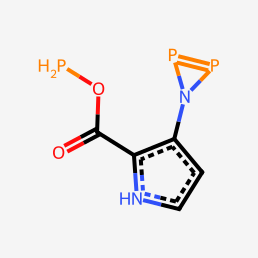 O=C(OP)c1[nH]ccc1N1P=P1